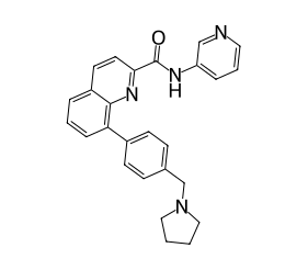 O=C(Nc1cccnc1)c1ccc2cccc(-c3ccc(CN4CCCC4)cc3)c2n1